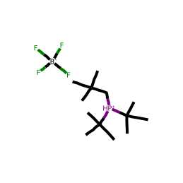 CC(C)(C)C[PH+](C(C)(C)C)C(C)(C)C.F[B-](F)(F)F